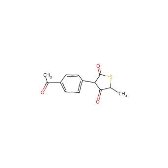 CC(=O)c1ccc(C2C(=O)SC(C)C2=O)cc1